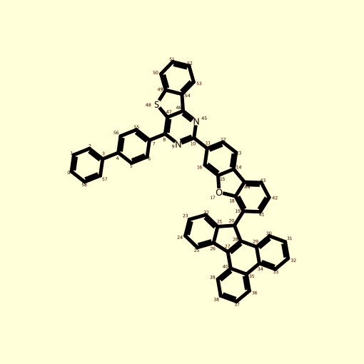 c1ccc(-c2ccc(-c3nc(-c4ccc5c(c4)oc4c(C6c7ccccc7-c7c6c6ccccc6c6ccccc76)cccc45)nc4c3sc3ccccc34)cc2)cc1